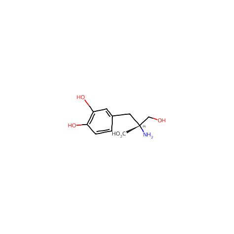 N[C@@](CO)(Cc1ccc(O)c(O)c1)C(=O)O